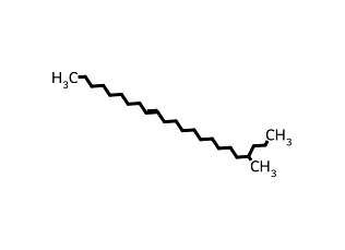 CCCCCCCCC=CCCCCCCCCCC(C)CCC